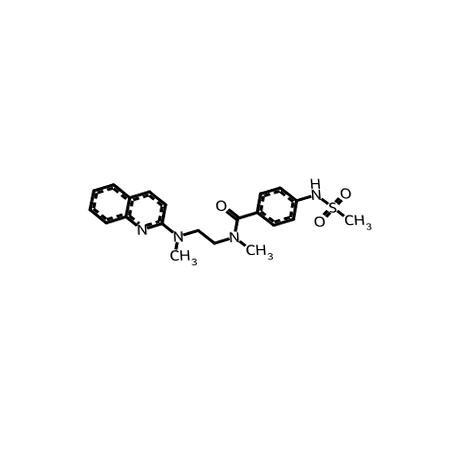 CN(CCN(C)c1ccc2ccccc2n1)C(=O)c1ccc(NS(C)(=O)=O)cc1